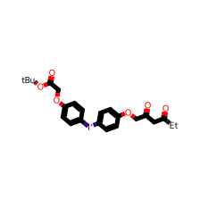 CCC(=O)CC(=O)COc1ccc([I+]c2ccc(OCC(=O)OC(C)(C)C)cc2)cc1